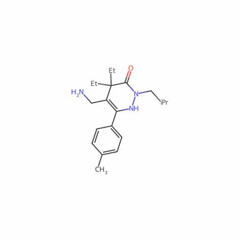 CCC1(CC)C(=O)N(CC(C)C)NC(c2ccc(C)cc2)=C1CN